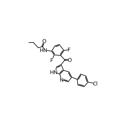 CCCC(=O)Nc1ccc(F)c(C(=O)c2c[nH]c3ncc(-c4ccc(Cl)cc4)cc23)c1F